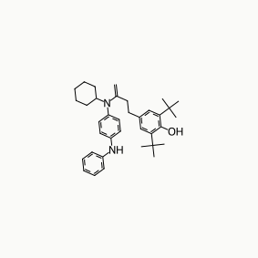 C=C(CCc1cc(C(C)(C)C)c(O)c(C(C)(C)C)c1)N(c1ccc(Nc2ccccc2)cc1)C1CCCCC1